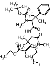 CCC[C@@H](/C=C(\C)C(=O)OCC)N(C)C(=O)[C@@H](NC(=O)C(N(C)C(=O)OC(C)(C)C)C(C)(C)c1ccccc1)C(C)(C)C